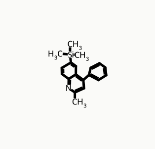 Cc1cc(-c2ccccc2)c2cc([Si](C)(C)C)ccc2n1